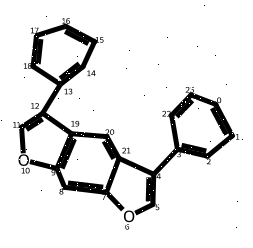 c1ccc(-c2coc3cc4occ(-c5ccccc5)c4cc23)cc1